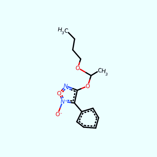 CCCCOC(C)Oc1no[n+]([O-])c1-c1ccccc1